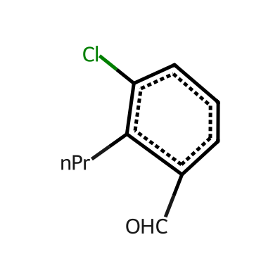 CCCc1c(Cl)cccc1C=O